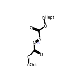 CCCCCCCCOC(=O)/N=N/C(=O)OCCCCCCC